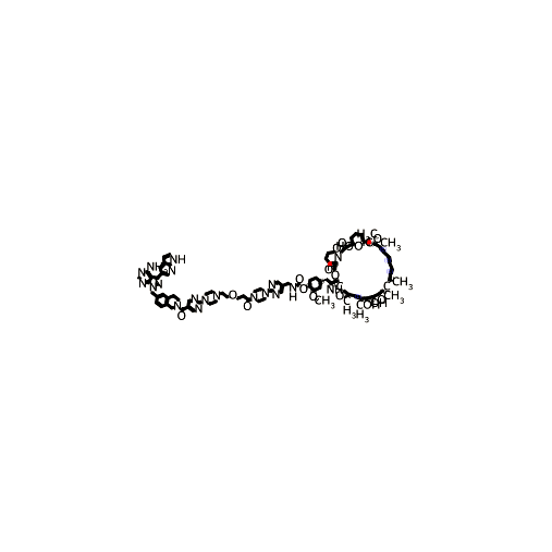 CO[C@H]1C[C@@H]2CCC[C@@](O)(O2)C(=O)C(=O)N2CCCC[C@H]2C(=O)O[C@H]([C@H](N)C[C@@H]2CC[C@@H](OC(=O)NCc3cnc(N4CCN(C(=O)CCOCCN5CCN(c6ncc(C(=O)N7CCc8cc(Cn9nc(-c%10cnc%11[nH]ccc%11c%10)c%10c(N)ncnc%109)ccc8C7)cn6)CC5)CC4)nc3)[C@H](OC)C2)CC(=O)[C@H](C)/C=C(\C)[C@@H](O)[C@@H](O)C(=O)[C@H](C)C[C@H](C)/C=C/C=C/C=C/1C